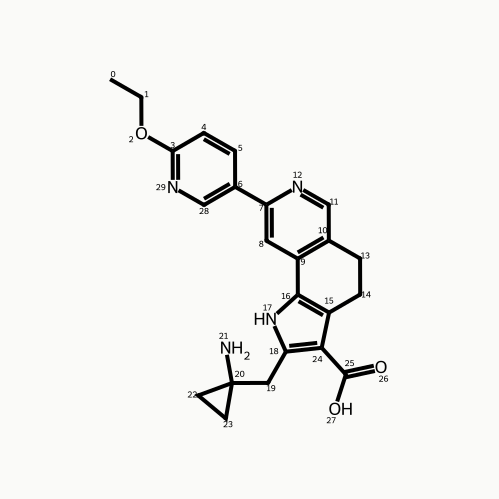 CCOc1ccc(-c2cc3c(cn2)CCc2c-3[nH]c(CC3(N)CC3)c2C(=O)O)cn1